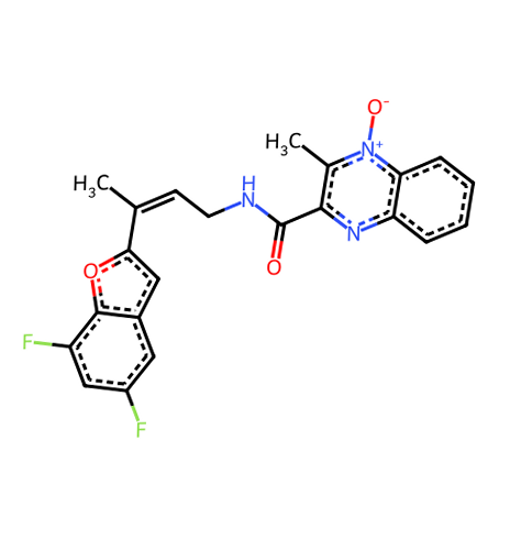 CC(=CCNC(=O)c1nc2ccccc2[n+]([O-])c1C)c1cc2cc(F)cc(F)c2o1